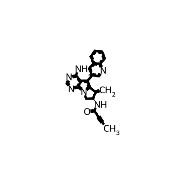 C=C1c2c(-c3cnc4ccccc4c3)c3c(N)ncnc3n2C[C@H]1NC(=O)C#CC